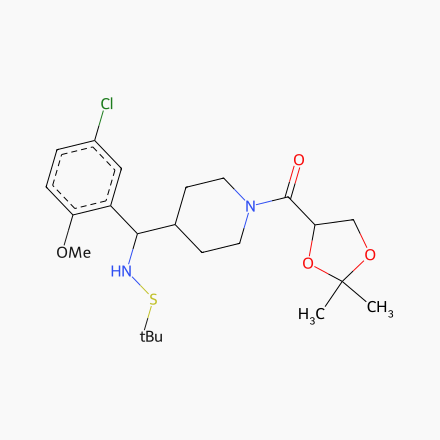 COc1ccc(Cl)cc1C(NSC(C)(C)C)C1CCN(C(=O)C2COC(C)(C)O2)CC1